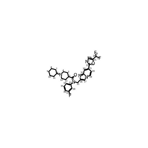 O=C(C1CCN(C2CCCCC2)CC1)N(Cc1cn2ccc(-c3nnc(C(F)F)o3)cc2n1)c1cccc(F)c1